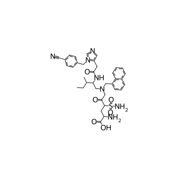 CCC(C)C(CN(CC(=O)C(CC(N)C(=O)O)S(N)(=O)=O)Cc1cccc2ccccc12)NC(=O)Cc1cncn1Cc1ccc(C#N)cc1